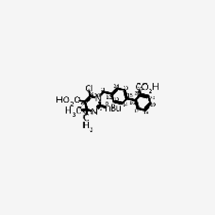 CCCCC1=NC(C)(C)C(C(=O)O)=C(Cl)N1Cc1ccc(-c2ccccc2C(=O)O)cc1